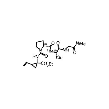 C=CC1CC1(NC(=O)N1CCC[C@@H]1C(=O)N[C@H](C(=O)NCC(=O)NC)C(C)(C)C)C(=O)OCC